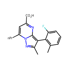 CCCc1cc(C(=O)O)nc2c(-c3c(C)cccc3F)c(C)nn12